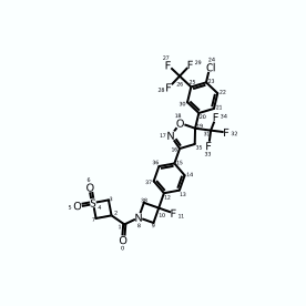 O=C(C1CS(=O)(=O)C1)N1CC(F)(c2ccc(C3=NOC(c4ccc(Cl)c(C(F)(F)F)c4)(C(F)(F)F)C3)cc2)C1